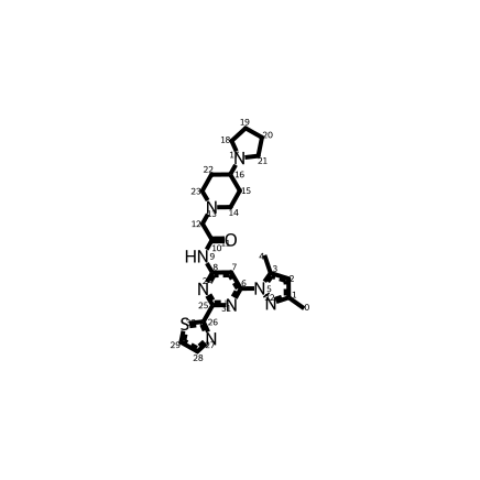 Cc1cc(C)n(-c2cc(NC(=O)CN3CCC(N4CCCC4)CC3)nc(-c3nccs3)n2)n1